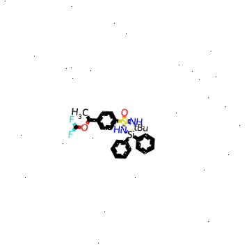 CC(OC(F)F)c1ccc(S(=N)(=O)N[Si](c2ccccc2)(c2ccccc2)C(C)(C)C)cc1